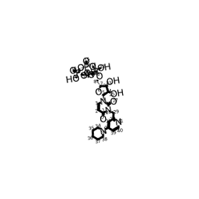 O=c1ccn([C@@H]2O[C@H](COP(=O)(O)OP(=O)(O)OP(=O)(O)O)C(O)C2O)c(=O)n1Cc1cc(N2CCCCC2)ccn1